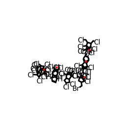 ClC1=C(Cl)C2(Cl)C(CBr)CC1(Cl)C2(Cl)Cl.ClC1=C(Cl)C2(Cl)C3C(Cl)C(Cl)CC3C1(Cl)C2(Cl)Cl.ClC1=C(Cl)C2(Cl)C3C4CC(C5OC45)C3C1(Cl)C2(Cl)Cl.ClC1=C(Cl)[C@]2(Cl)[C@H]3[C@H]([C@@H]4C=C[C@H]3C4)[C@@]1(Cl)C2(Cl)Cl.ClCC1C(CCl)C2(Cl)C(Cl)=C(Cl)C1(Cl)C2(Cl)Cl.O=C1C2(Cl)C3(Cl)C4(Cl)C(Cl)(Cl)C5(Cl)C3(Cl)C1(Cl)C5(Cl)C24Cl